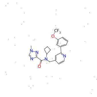 Cn1cnc(C(=O)N(Cc2ccnc(-c3cccc(OC(F)(F)F)c3)c2)C2CCC2)n1